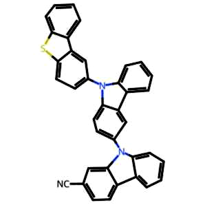 N#Cc1ccc2c3ccccc3n(-c3ccc4c(c3)c3ccccc3n4-c3ccc4sc5ccccc5c4c3)c2c1